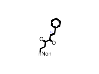 CCCCCCCCCCCC(=O)C(=O)/C=C/c1ccccc1